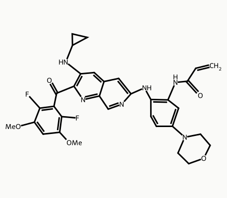 C=CC(=O)Nc1cc(N2CCOCC2)ccc1Nc1cc2cc(NC3CC3)c(C(=O)c3c(F)c(OC)cc(OC)c3F)nc2cn1